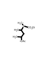 CCOC(=O)N(C)C(C)CC(C)OC(C)=O